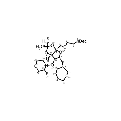 CCCCCCCCCCCCOC[C@@]12O[C@@H](CN3CCCCCC3)[C@@H](ON3CCOCC3CC)[C@@H]1OC(C)(C)O2